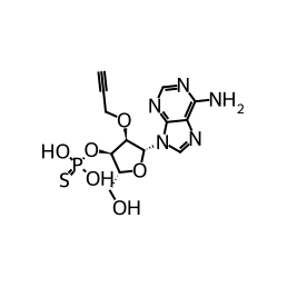 C#CCO[C@@H]1[C@H](OP(O)(O)=S)[C@@H](CO)O[C@H]1n1cnc2c(N)ncnc21